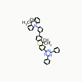 CC1(C)c2cc(-c3cccc(N4c5ccccc5C(C)(C)c5ccccc54)c3)ccc2Sc2ccc(-c3nc(-c4ccccc4)nc(-c4ccccc4)n3)cc21